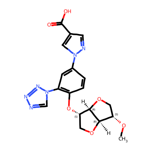 CO[C@H]1CO[C@H]2[C@@H]1OC[C@@H]2Oc1ccc(-n2cc(C(=O)O)cn2)cc1-n1cnnn1